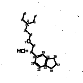 CCN(CC)CCOCCc1ccc2c(c1)CCC2.Cl